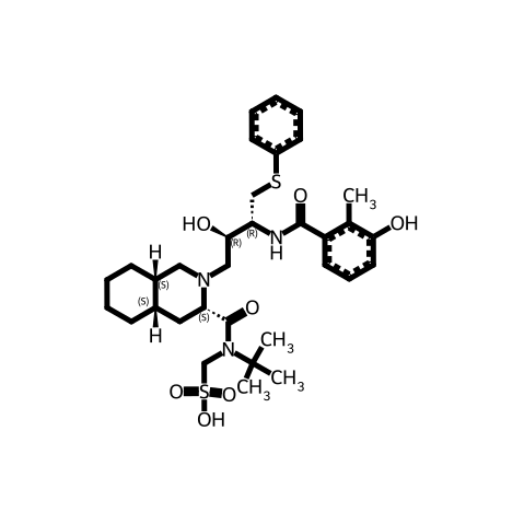 Cc1c(O)cccc1C(=O)N[C@@H](CSc1ccccc1)[C@H](O)CN1C[C@H]2CCCC[C@H]2C[C@H]1C(=O)N(CS(=O)(=O)O)C(C)(C)C